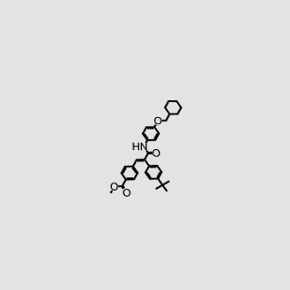 COC(=O)c1ccc(/C=C(/C(=O)Nc2ccc(OCC3CCCCC3)cc2)c2ccc(C(C)(C)C)cc2)cc1